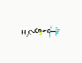 CCCc1ccc2cc(C#Cc3cc(F)c(C#CC(F)(F)F)c(F)c3)sc2c1